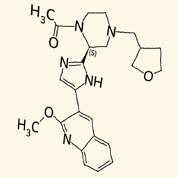 COc1nc2ccccc2cc1-c1cnc([C@@H]2CN(CC3CCOC3)CCN2C(C)=O)[nH]1